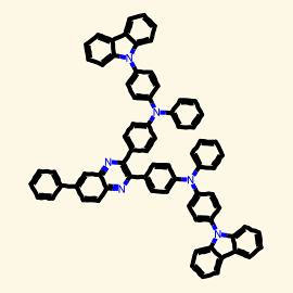 c1ccc(-c2ccc3nc(-c4ccc(N(c5ccccc5)c5ccc(-n6c7ccccc7c7ccccc76)cc5)cc4)c(-c4ccc(N(c5ccccc5)c5ccc(-n6c7ccccc7c7ccccc76)cc5)cc4)nc3c2)cc1